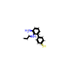 CCCNc1c(N)cccc1-c1ccc(S)cc1